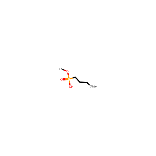 CCOP(=O)(O)CCCOC